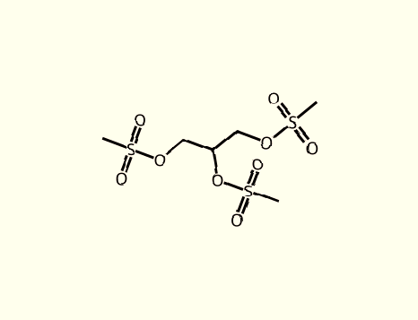 CS(=O)(=O)OCC(COS(C)(=O)=O)OS(C)(=O)=O